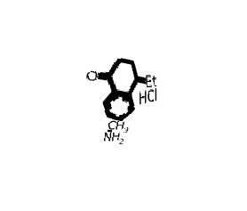 CCC1CCC(=O)c2ccccc21.CN.Cl